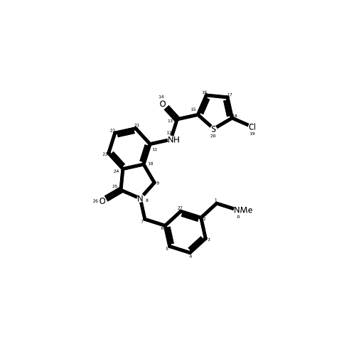 CNCc1cccc(CN2Cc3c(NC(=O)c4ccc(Cl)s4)cccc3C2=O)c1